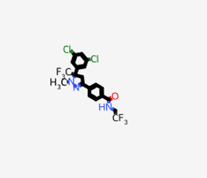 CN1N=C(c2ccc(C(=O)NCC(F)(F)F)cc2)CC1(c1cc(Cl)cc(Cl)c1)C(F)(F)F